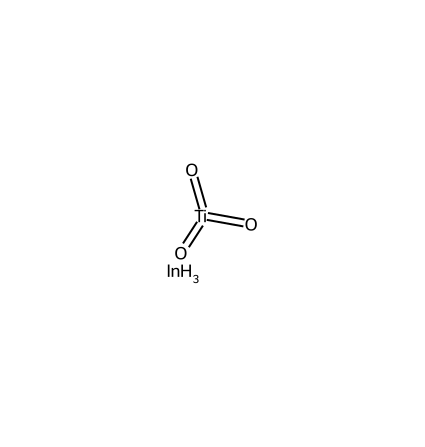 [InH3].[O]=[Ti](=[O])=[O]